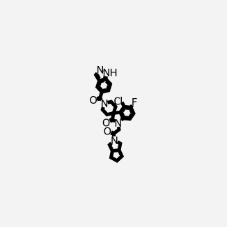 O=C(CN1C(=O)C2(CCN(C(=O)c3ccc4[nH]ncc4c3)CC2)c2c1ccc(F)c2Cl)N1CC2CCCC2C1